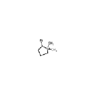 CCC1CCC[N+]1(C)C